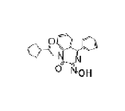 O=C(Cn1c(=O)/c(=N/O)nc(-c2ccccc2)c2ccccc21)C1CCCC1